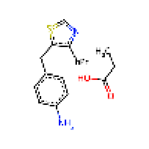 CCC(=O)O.CCCc1ncsc1Cc1ccc(N)cc1